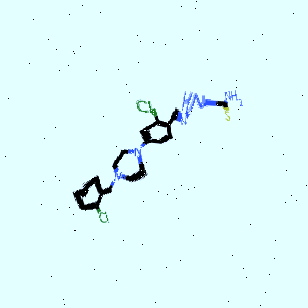 NC(=S)N/N=C/c1ccc(N2CCN(Cc3ccccc3Cl)CC2)cc1Cl